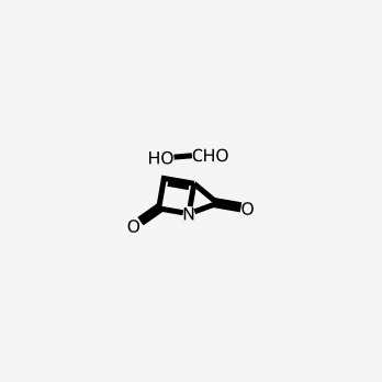 O=C1C=C2C(=O)N12.O=CO